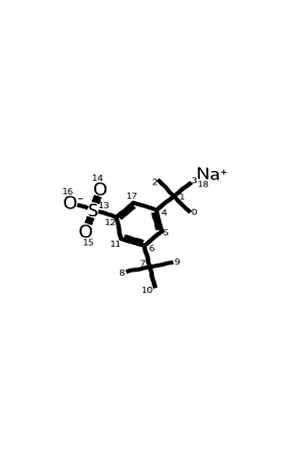 CC(C)(C)c1cc(C(C)(C)C)cc(S(=O)(=O)[O-])c1.[Na+]